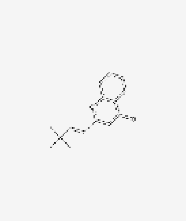 CC(C)(C)C=Cc1cc(=O)c2ccccc2o1